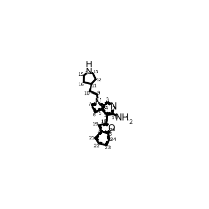 Nc1ncc2c(ccn2CCC2CCNCC2)c1-c1cc2ccccc2o1